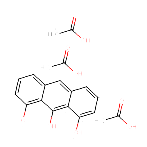 CC(=O)O.CC(=O)O.CC(=O)O.Oc1cccc2cc3cccc(O)c3c(O)c12